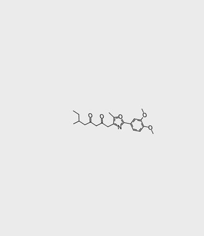 CCC(C)CC(=O)CC(=O)Cc1nc(-c2ccc(OC)c(OC)c2)oc1C